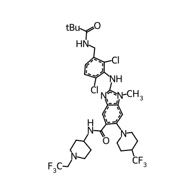 Cn1c(Nc2c(Cl)ccc(CNC(=O)C(C)(C)C)c2Cl)nc2cc(C(=O)NC3CCN(CC(F)(F)F)CC3)c(N3CCC(C(F)(F)F)CC3)cc21